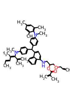 C=CCOCC(CNc1ccc(C(c2ccc(N(C)/C(C(=C)C)=C(C)/C=C/C)cc2)c2ccc(N(C)c3c(C)cc(C)cc3C)cc2)c2ccccc12)OC(=O)C(=C)C